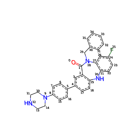 O=C1c2cc(-c3ccc(N4CCNCC4)cc3)ccc2Nc2ccc(F)cc2N1Cc1ccccc1